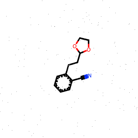 N#Cc1ccccc1CCC1OCCO1